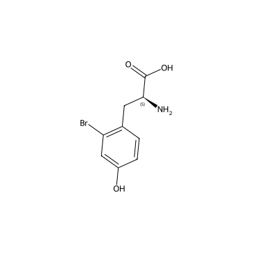 N[C@@H](Cc1ccc(O)cc1Br)C(=O)O